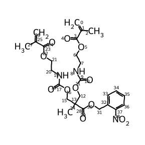 C=C(C)C(=O)OCCNC(=O)OCC(C)(COC(=O)NCCOC(=O)C(=C)C)C(=O)OCc1ccccc1[N+](=O)[O-]